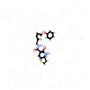 O=C(NCc1ccc(Oc2ccccc2)s1)c1cc2c([nH]c1=O)CCS2